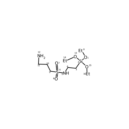 CCO[Si](CCNS(=O)(=O)CCCN)(OCC)OCC